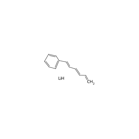 C=CC=CC=Cc1ccccc1.[LiH]